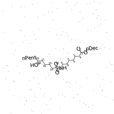 CCCCCCCCCCOC(=O)CCCCCCNS(=O)(=O)CCCCC(O)CCCCC